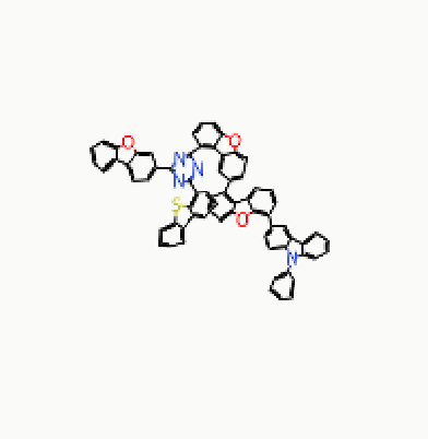 c1ccc(-n2c3ccccc3c3cc(-c4cccc5c4oc4cccc(-c6ccc7oc8cccc(-c9nc(-c%10ccc%11c(c%10)oc%10ccccc%10%11)nc(-c%10cccc%11c%10sc%10ccccc%10%11)n9)c8c7c6)c45)ccc32)cc1